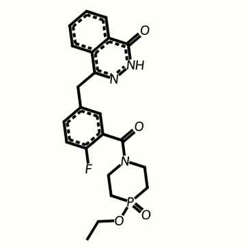 CCOP1(=O)CCN(C(=O)c2cc(Cc3n[nH]c(=O)c4ccccc34)ccc2F)CC1